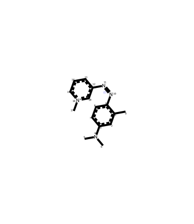 Cc1cc(N(C)C)ccc1/N=N\c1ccc[n+](C)c1